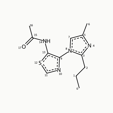 CCCc1nc(C)cn1-c1ncsc1NC(C)=O